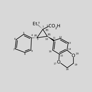 CC[C@@]1(C(=O)O)[C@@H](c2ccccc2)[C@@H]1c1ccc2c(c1)OCCO2